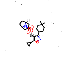 CC1(C)CCC(c2noc(C3CC3)c2COC2CC3CC[C@@H](C2)N3C(=O)OC(C)(C)C)CC1